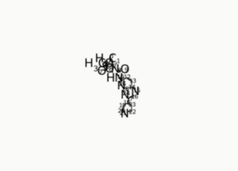 CCN(OS(C)(=O)=O)C(=O)Nc1ccc2ncc(-c3ccncc3)nc2n1